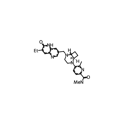 CCc1cc2ncc(CN3CCN(c4ccc(C(=O)NC)nc4C)[C@@H]4CC[C@H]43)cc2[nH]c1=O